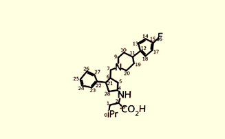 CC(C)C[C@@H](NC1CC(CN2CCC(c3ccc(F)cc3)CC2)C(c2ccccc2)C1)C(=O)O